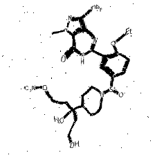 CCCc1nn(C)c2c(=O)[nH]c(-c3cc([S+]([O-])N4CCC(C(O)(CCO)CCO[N+](=O)[O-])CC4)ccc3OCC)nc12